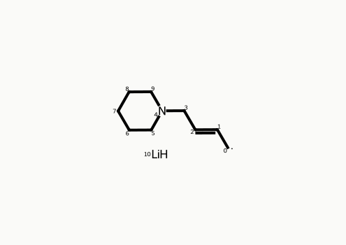 [CH2]/C=C/CN1CCCCC1.[LiH]